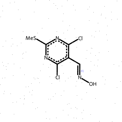 CSc1nc(Cl)c(/C=N/O)c(Cl)n1